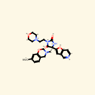 COc1ccc2c(c1)OCN(C[C@@]1(c3cc4cnccc4o3)NC(=O)N(CCN3CCOCC3)C1=O)C2